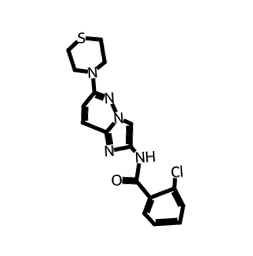 O=C(Nc1cn2nc(N3CCSCC3)ccc2n1)c1ccccc1Cl